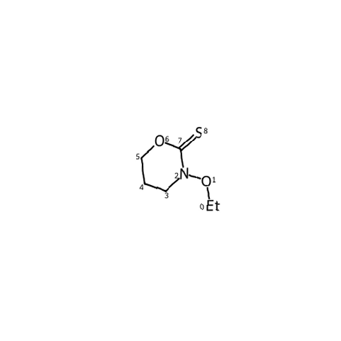 CCON1CCCOC1=S